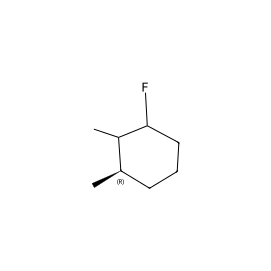 CC1C(F)CCC[C@H]1C